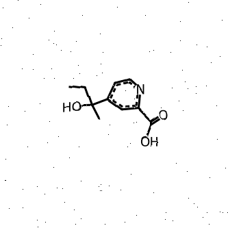 CCC(C)(O)c1ccnc(C(=O)O)c1